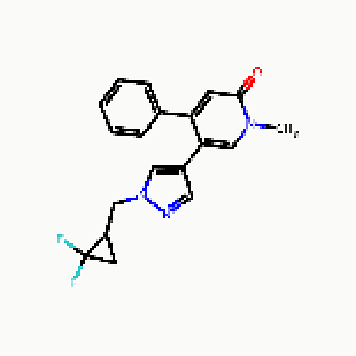 Cn1cc(-c2cnn(CC3CC3(F)F)c2)c(-c2ccccc2)cc1=O